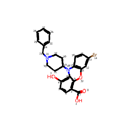 O=C(O)c1ccc(O)c2c1Oc1cc(Br)ccc1N2C1CCN(Cc2ccccc2)CC1